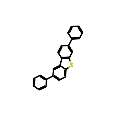 c1ccc(-c2ccc3c(c2)sc2ccc(-c4ccccc4)cc23)cc1